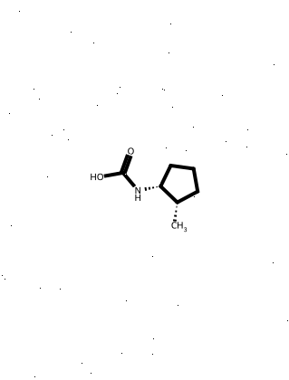 C[C@H]1CCC[C@H]1NC(=O)O